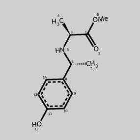 COC(=O)[C@H](C)N[C@H](C)c1ccc(O)cc1